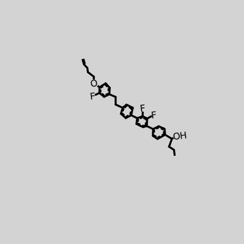 C=CCCCOc1ccc(CCc2ccc(-c3ccc(-c4ccc(C(O)CCC)cc4)c(F)c3F)cc2)cc1F